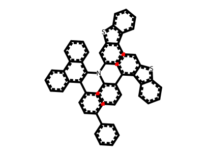 c1ccc(-c2ccc(-c3c(N(c4ccc5c(c4)sc4ccccc45)c4ccccc4-c4cccc5sc6ccccc6c45)c4ccccc4c4ccccc34)cc2)cc1